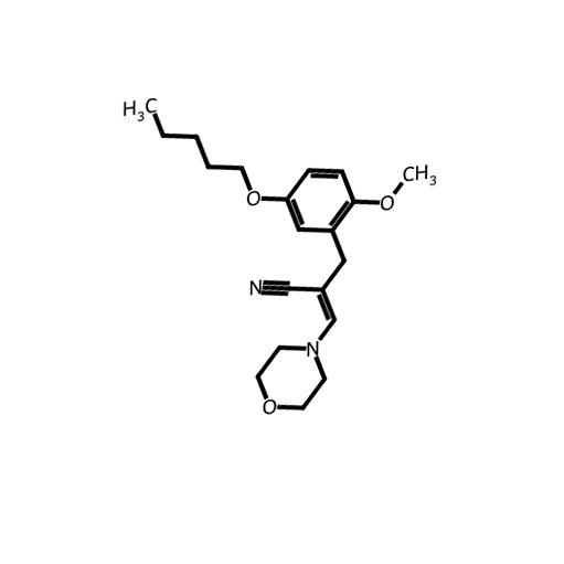 CCCCCOc1ccc(OC)c(CC(C#N)=CN2CCOCC2)c1